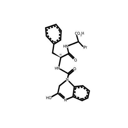 CC(C)C(NC(=O)[C@H](Cc1ccccc1)NC(=O)N1CC(O)=Nc2ccccc21)C(=O)O